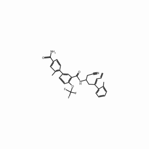 C=C/C=C(/CC(CC#N)NC(=O)c1cc(-c2ccc(C(N)=O)cc2C)ccc1OC(F)(F)F)c1ccccc1C